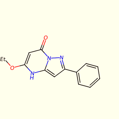 CCOc1cc(=O)n2nc(-c3ccccc3)cc2[nH]1